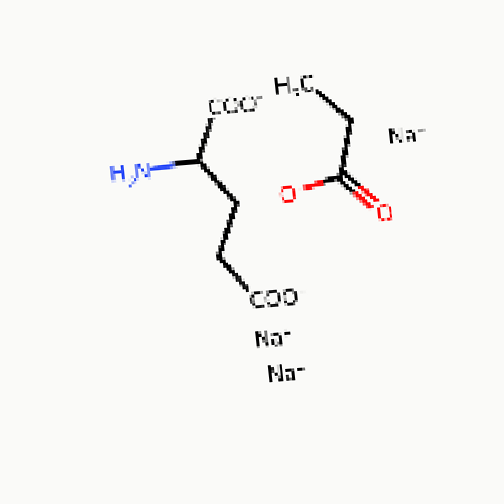 CCC(=O)[O-].NC(CCC(=O)[O-])C(=O)[O-].[Na+].[Na+].[Na+]